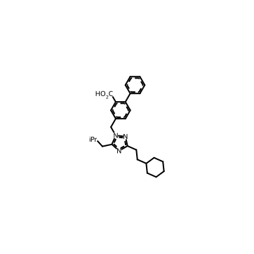 CC(C)Cc1nc(CCC2CCCCC2)nn1Cc1ccc(-c2ccccc2)c(C(=O)O)c1